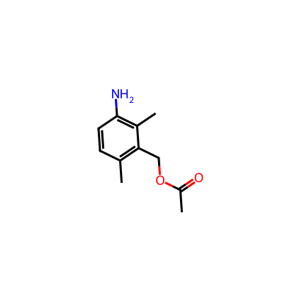 CC(=O)OCc1c(C)ccc(N)c1C